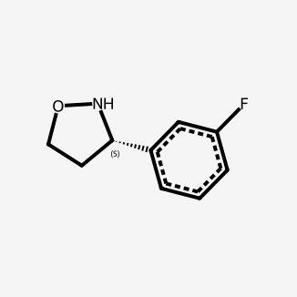 Fc1cccc([C@@H]2CCON2)c1